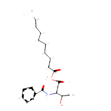 CC(O)C(NC(=O)c1ccccc1)C(=O)OC(=O)CCCCCCCCC(=O)O